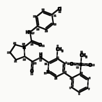 Cc1cc(-c2ccccc2S(C)(=O)=O)cnc1NC(=O)C1CCCN1C(=O)Nc1ccc(Cl)cc1